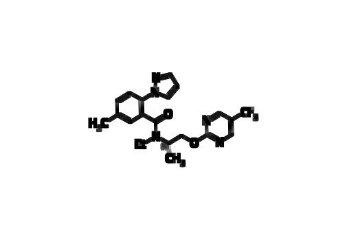 CCN(C(=O)c1cc(C)ccc1-n1cccn1)[C@@H](C)COc1ncc(C(F)(F)F)cn1